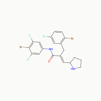 O=C(Nc1cc(F)c(Br)c(F)c1)/C(=C/C1CCCN1)Cc1cc(F)ccc1Br